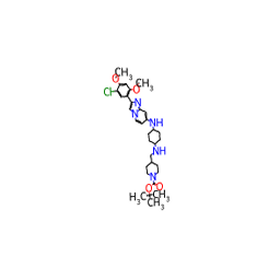 COc1cc(OC)c(-c2cn3ccc(NC4CCC(NCC5CCN(C(=O)OC(C)(C)C)CC5)CC4)cc3n2)cc1Cl